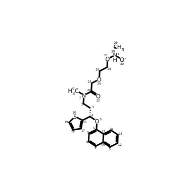 CN(CC[C@H](Oc1cccc2ccccc12)c1cccs1)C(=O)COCCO[NH+](C)[O-]